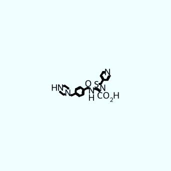 O=C(Nc1sc(-c2ccncc2)nc1C(=O)O)c1ccc(CN2CCNCC2)cc1